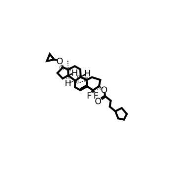 C[C@]12CC[C@H]3[C@@H](CC=C4C(F)(F)[C@@H](OC(=O)CCC5CCCC5)CC[C@@]43C)[C@@H]1CC[C@@H]2OC1CC1